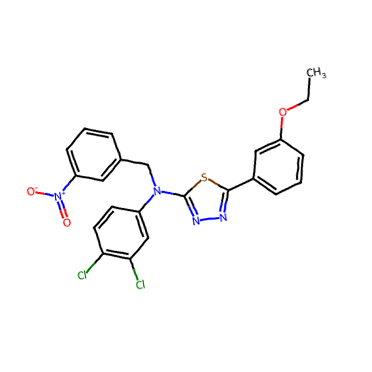 CCOc1cccc(-c2nnc(N(Cc3cccc([N+](=O)[O-])c3)c3ccc(Cl)c(Cl)c3)s2)c1